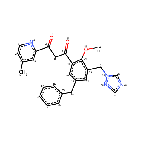 Cc1ccnc(C(=O)CC(=O)c2cc(Cc3ccccc3)cc(Cn3cncn3)c2OC(C)C)c1